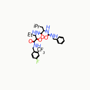 CCC(NC(=O)C(CC(C)C)NC(=O)NCc1ccccc1)C(=O)C(=O)NCc1ccc(F)cc1C(F)(F)F